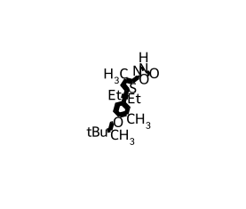 CCC(CC)(c1ccc(OCC(C)C(C)(C)C)c(C)c1)c1cc(C)c(-c2n[nH]c(=O)o2)s1